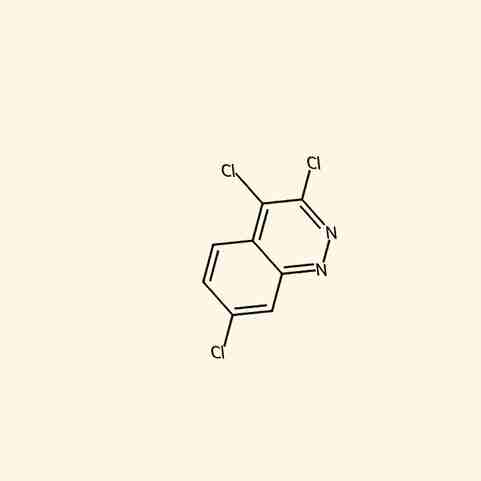 Clc1ccc2c(Cl)c(Cl)nnc2c1